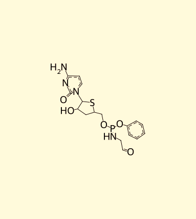 Nc1ccn(C2SC(COP(NCC=O)Oc3ccccc3)CC2O)c(=O)n1